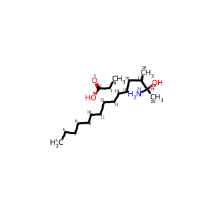 CCC(=O)O.CCCCCCCCCCCCC(C)C(C)(N)O